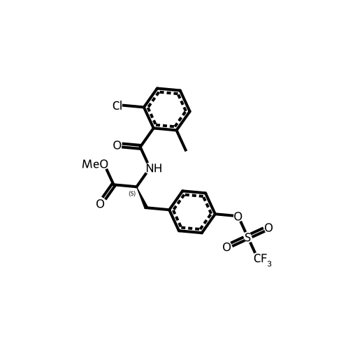 COC(=O)[C@H](Cc1ccc(OS(=O)(=O)C(F)(F)F)cc1)NC(=O)c1c(C)cccc1Cl